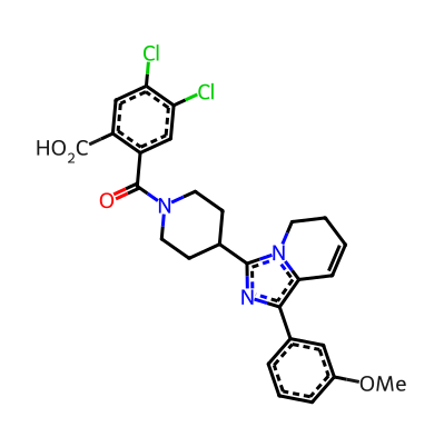 COc1cccc(-c2nc(C3CCN(C(=O)c4cc(Cl)c(Cl)cc4C(=O)O)CC3)n3c2C=CCC3)c1